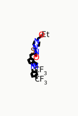 CCOCCN1CCN(C2=NC(=O)C(=Cc3ccc4c(cnn4Cc4ccc(C(F)(F)F)cc4C(F)(F)F)c3)S2)CC1